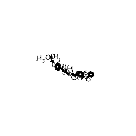 CN(C)CCOc1ccc(-c2ncc(CNC(=O)c3ccc4c(c3)NC(=O)c3ccccc3S4)s2)cc1